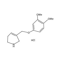 COc1ccc(OCC2=CCCNC2)cc1OC.Cl